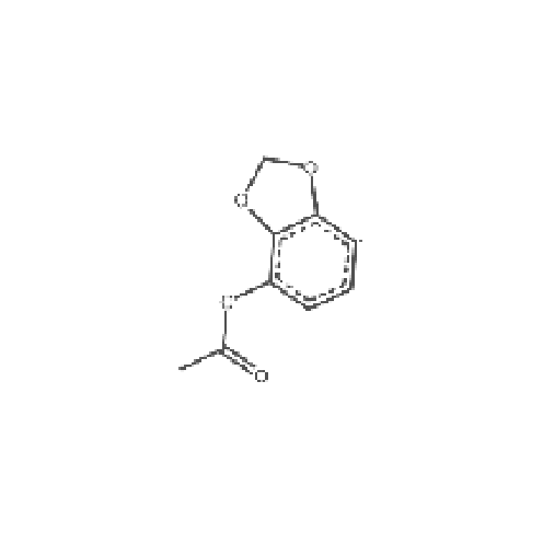 CC(=O)Oc1cc[c]c2c1OCO2